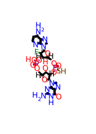 Nc1nc2c(ncn2[C@@H]2O[C@@H]3COP(=O)(O)O[C@@H]4C(F)[C@H](n5cnc6c(N)ccnc65)O[C@@H]4COP(=O)(S)O[C@H]2C3O)c(=O)[nH]1